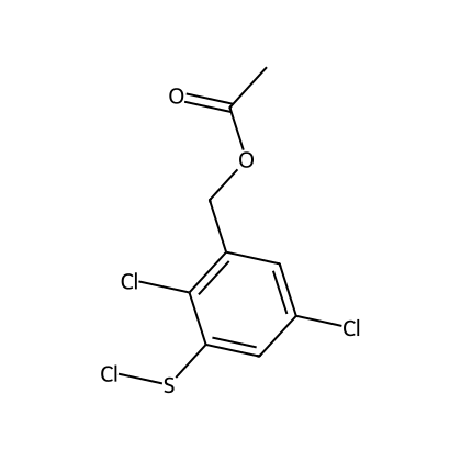 CC(=O)OCc1cc(Cl)cc(SCl)c1Cl